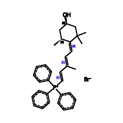 CC(/C=C/[P+](c1ccccc1)(c1ccccc1)c1ccccc1)=C\C=C1/[C@H](C)C[C@@H](O)CC1(C)C.[Br-]